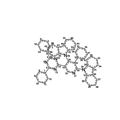 c1ccc(-c2nc(-c3ccccc3)nc(-c3cnc(-n4c5ccccc5c5ccccc54)c(-c4ccccc4)c3-n3c4ccccc4c4ccccc43)n2)cc1